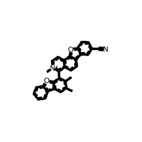 Cc1cc2c(oc3ccccc32)c(-c2c3ccc4c5cc(C#N)ccc5oc4c3cc[n+]2C)c1C